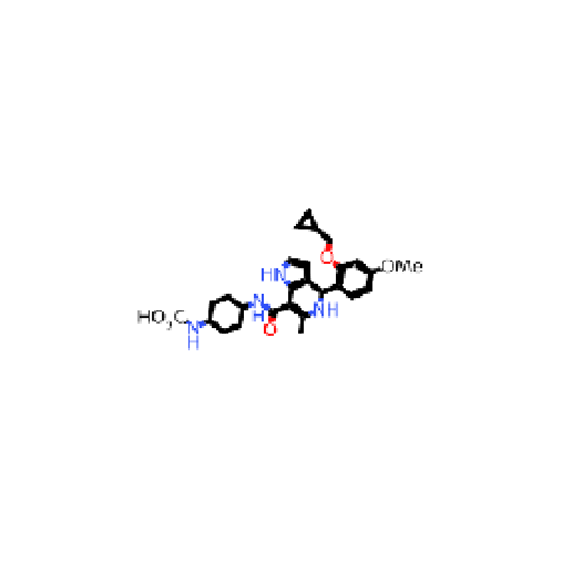 COc1ccc(C2NC(C)=C(C(=O)NC3CCC(NC(=O)O)CC3)c3[nH]ccc32)c(OCC2CC2)c1